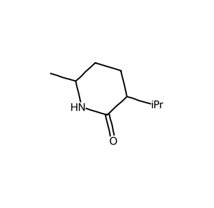 CC1CCC(C(C)C)C(=O)N1